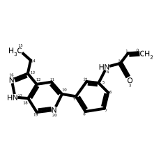 C=CC(=O)Nc1cccc(-c2cc3c(CC)n[nH]c3cn2)c1